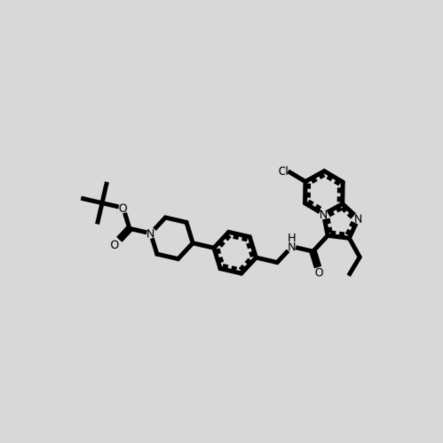 CCc1nc2ccc(Cl)cn2c1C(=O)NCc1ccc(C2CCN(C(=O)OC(C)(C)C)CC2)cc1